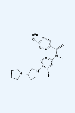 CCCCOc1ccc(C(=O)N(C)c2ccc(N3CCC(N4CCCC4)C3)c(F)c2)cc1